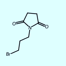 O=C1CCC(=O)N1CCCBr